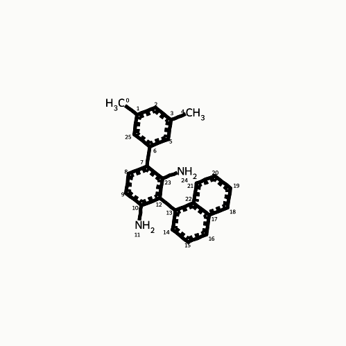 Cc1cc(C)cc(-c2ccc(N)c(-c3cccc4ccccc34)c2N)c1